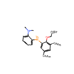 COCOc1c(OC)cc(OC)cc1Pc1ccccc1N(C)C